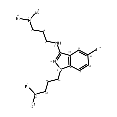 CCN(CC)CCCNc1nn(CCCN(CC)CC)c2ccc(I)cc12